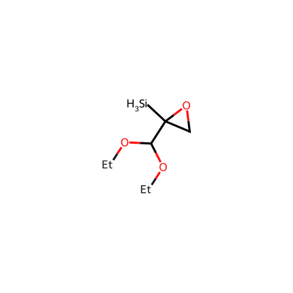 CCOC(OCC)C1([SiH3])CO1